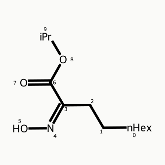 CCCCCCCCC(=NO)C(=O)OC(C)C